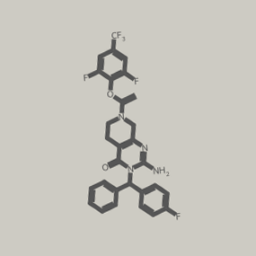 C=C(Oc1c(F)cc(C(F)(F)F)cc1F)N1CCc2c(nc(N)n(C(c3ccccc3)c3ccc(F)cc3)c2=O)C1